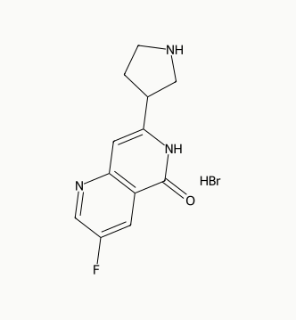 Br.O=c1[nH]c(C2CCNC2)cc2ncc(F)cc12